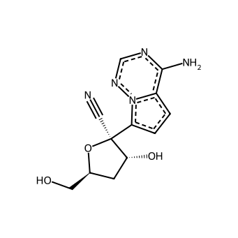 N#C[C@@]1(c2ccc3c(N)ncnn23)O[C@H](CO)C[C@H]1O